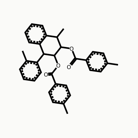 Cc1ccc(C(=O)OC2C(C)c3ccccc3C(c3ccccc3C)C2OC(=O)c2ccc(C)cc2)cc1